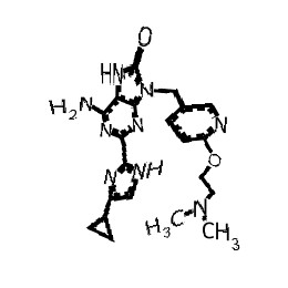 CN(C)CCOc1ccc(Cn2c(=O)[nH]c3c(N)nc(-c4nc(C5CC5)c[nH]4)nc32)cn1